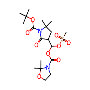 CC(C)(C)OC(=O)N1C(=O)C(C(OC(=O)N2CCOC2(C)C)OS(C)(=O)=O)CC1(C)C